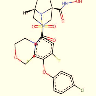 O=C(N1CCOCC1)N1C[C@@H]2CC[C@](C(=O)NO)(C1)N2S(=O)(=O)c1cc(F)c(Oc2ccc(Cl)cc2)c(F)c1